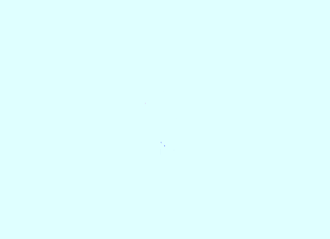 CCCS(=O)(=O)Oc1c[nH]c2ccccc12